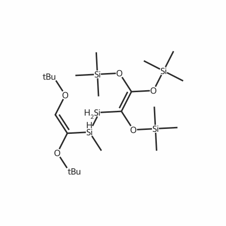 C[SiH]([SiH2]C(O[Si](C)(C)C)=C(O[Si](C)(C)C)O[Si](C)(C)C)C(=COC(C)(C)C)OC(C)(C)C